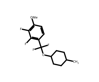 COc1ccc(C(F)(F)OC2CCC(C)CC2)c(F)c1F